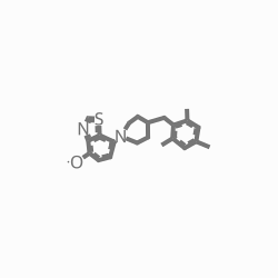 Cc1cc(C)c(CC2CCN(c3ccc([O])c4ncsc34)CC2)c(C)c1